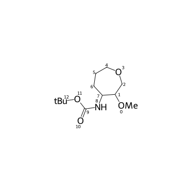 COC1COCCCC1NC(=O)OC(C)(C)C